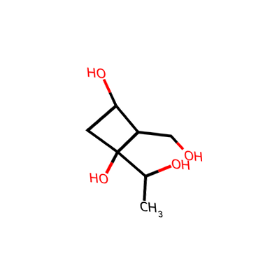 CC(O)C1(O)CC(O)C1CO